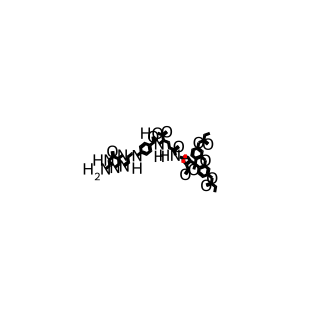 CCC(=O)Oc1ccc2c(c1)Oc1cc(OC(=O)CC)ccc1C21OC(=O)c2cc(NC(=O)CCC(NC(=O)c3ccc(NCc4cnc5nc(N)[nH]c(=O)c5n4)cc3)C(=O)O)ccc21